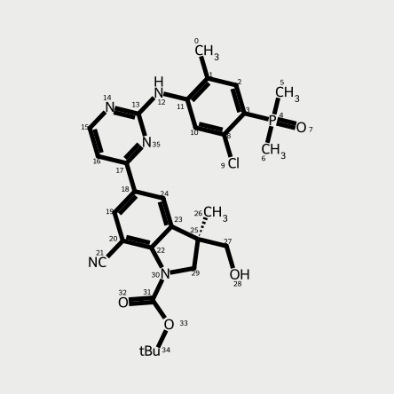 Cc1cc(P(C)(C)=O)c(Cl)cc1Nc1nccc(-c2cc(C#N)c3c(c2)[C@@](C)(CO)CN3C(=O)OC(C)(C)C)n1